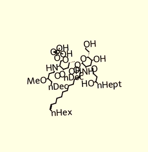 CCCCCC/C=C\CCCCCCCCCC(=O)N[C@H]1[C@H](OC[C@H]2O[C@H](OP(=O)(O)O)[C@H](NC(=O)CC(CCCCCCCCCCC)OC)[C@@H](OCCCCCCCCCC)[C@@H]2O)O[C@H](CCO)[C@@H](O)[C@@H]1OCCC(O)CCCCCCC